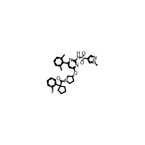 Cc1cccc(C)c1-c1cc(OC2CCN(C(=O)C3(c4ccccc4F)CCCC3)C2)nc(NS(=O)(=O)c2cnn(C)c2)n1